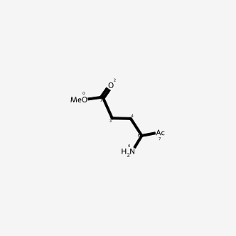 COC(=O)CCC(N)C(C)=O